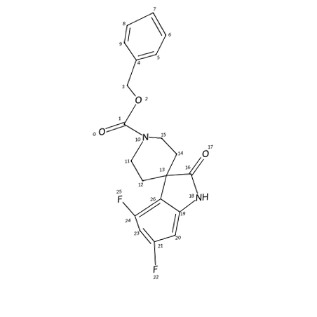 O=C(OCc1ccccc1)N1CCC2(CC1)C(=O)Nc1cc(F)cc(F)c12